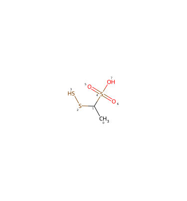 CC(SS)S(=O)(=O)O